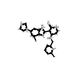 Cc1cccc(CNc2cc[nH]c(=O)c2-c2nc3c(C)cc(-n4ccnc4)cc3[nH]2)n1